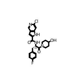 O=C(N[C@@H](Cc1ccc(F)cc1)C(=O)N1CCC(O)CC1)c1cc2cnc(Cl)cc2[nH]1